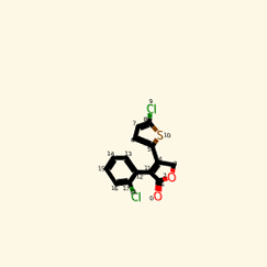 O=C1OCC(c2ccc(Cl)s2)=C1c1ccccc1Cl